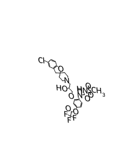 CS(=O)(=O)NC(=O)Nc1ccc(OC(=O)C(F)(F)F)cc1OCC(O)CN1CCC2(CC1)Cc1cc(Cl)ccc1O2